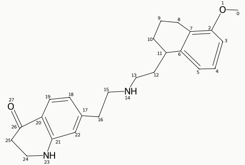 COc1cccc2c1CCCC2CCNCCc1ccc2c(c1)NCCC2=O